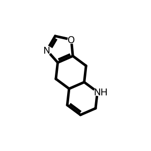 C1=CC2Cc3ncoc3CC2NC1